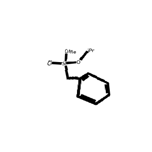 CO[Si](Cl)(Cc1ccccc1)OC(C)C